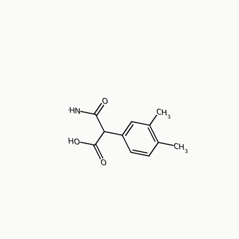 Cc1ccc(C(C([NH])=O)C(=O)O)cc1C